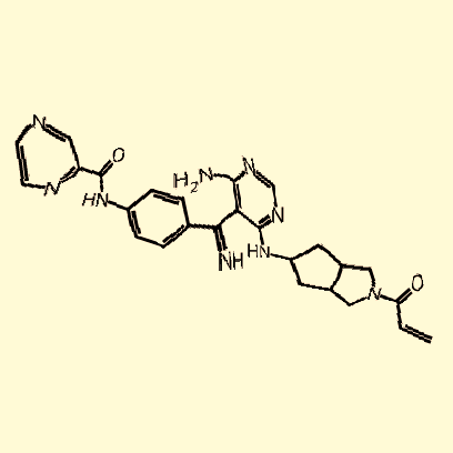 C=CC(=O)N1CC2CC(Nc3ncnc(N)c3C(=N)c3ccc(NC(=O)c4cnccn4)cc3)CC2C1